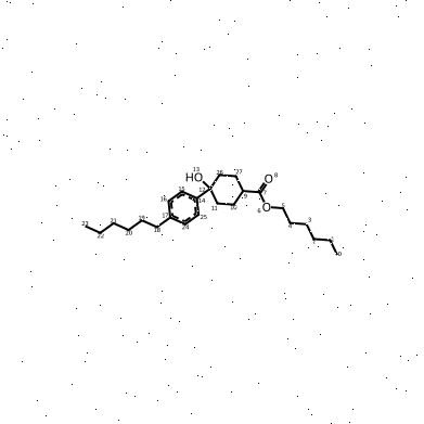 CCCCCCOC(=O)C1CCC(O)(c2ccc(CCCCCC)cc2)CC1